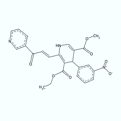 CCOC(=O)C1=C(C=CC(=O)c2cccnc2)NC=C(C(=O)OC)C1c1cccc([N+](=O)[O-])c1